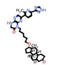 Cc1nc(-c2nc[nH]n2)ccc1-c1cnc2c(n1)N(CCCCCCO[C@H]1CC[C@H]3[C@@H]4CC[C@H]5CC(=O)CC[C@]5(C)[C@H]4CC[C@]13C)C(=O)CN2